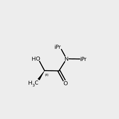 CC(C)N(C(=O)[C@@H](C)O)C(C)C